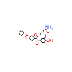 NC(=O)CCCCc1oc2cc(OCc3ccccc3)ccc2c1C(=O)c1cc(I)c(O)c(I)c1